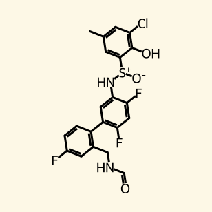 Cc1cc(Cl)c(O)c([S+]([O-])Nc2cc(-c3ccc(F)cc3CNC=O)c(F)cc2F)c1